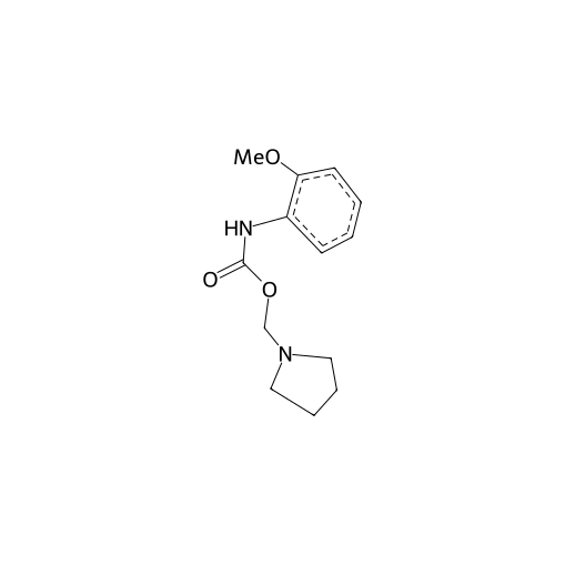 COc1ccccc1NC(=O)OCN1CCCC1